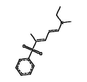 CCN(C)C=CC=C(C)S(=O)(=O)c1ccccc1